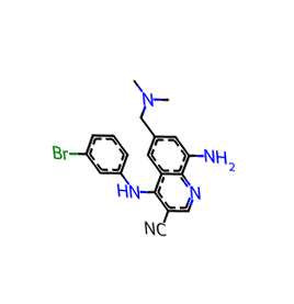 CN(C)Cc1cc(N)c2ncc(C#N)c(Nc3cccc(Br)c3)c2c1